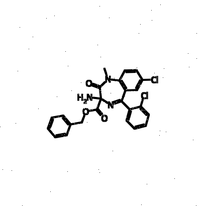 CN1C(=O)C(N)(C(=O)OCc2ccccc2)N=C(c2ccccc2Cl)c2cc(Cl)ccc21